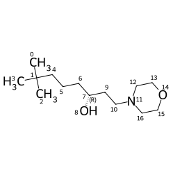 CC(C)(C)CCC[C@@H](O)CCN1CCOCC1